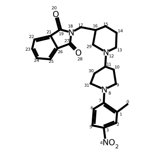 Cc1cc([N+](=O)[O-])ccc1N1CCC(N2CCCC(CN3C(=O)c4ccccc4C3=O)C2)CC1